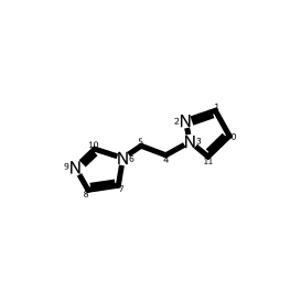 c1cnn(CCn2ccnc2)c1